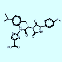 COc1ccc([C@H]2NC(=O)N([C@@H](Cc3ccc(N(C)C)cc3)C(=O)Nc3nc(C(=O)O)cs3)C2=O)cc1